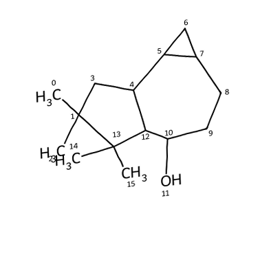 CC1(C)CC2C3CC3CCC(O)C2C1(C)C